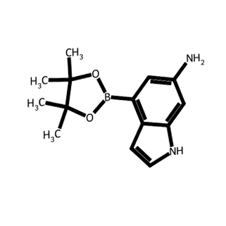 CC1(C)OB(c2cc(N)cc3[nH]ccc23)OC1(C)C